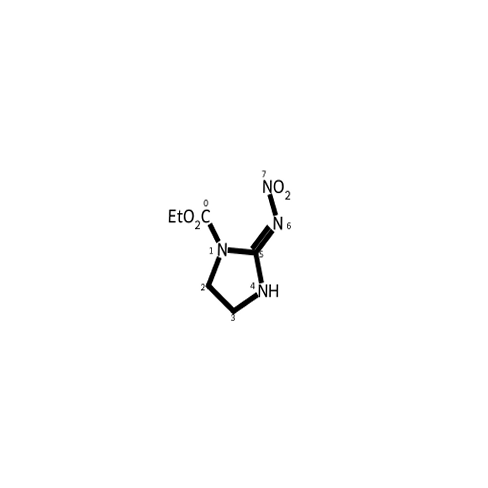 CCOC(=O)N1CCN/C1=N/[N+](=O)[O-]